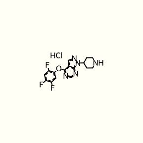 Cl.Fc1cc(F)c(Oc2ncnc3c2cnn3C2CCNCC2)cc1F